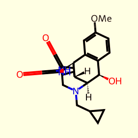 COc1ccc2c(c1)[C@]13CCN(CC4CC4)[C@H]([C@@H]2O)[C@@H]1CCNC(=O)NC(=O)C3